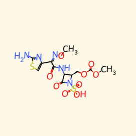 CON=C(C(=O)N[C@@H]1C(=O)N(S(=O)(=O)O)[C@@H]1COC(=O)OC)c1csc(N)n1